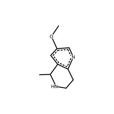 COc1cnc2c(c1)C(C)NCC2